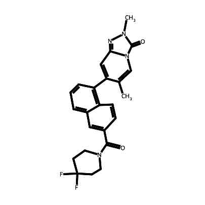 Cc1cn2c(=O)n(C)nc2cc1-c1cccc2cc(C(=O)N3CCC(F)(F)CC3)ccc12